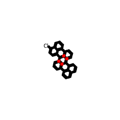 Clc1ccc(-c2ccc(-c3cccc4cccc(-c5ccccc5)c34)cc2)c2c(-c3ccccc3)cccc12